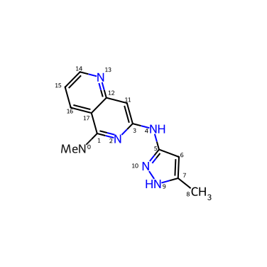 CNc1nc(Nc2cc(C)[nH]n2)cc2ncccc12